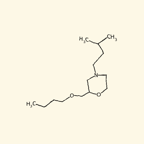 CCCCOCC1CN(CCC(C)C)CCO1